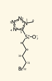 Cn1nnnc1[S+]([O-])CCCCBr